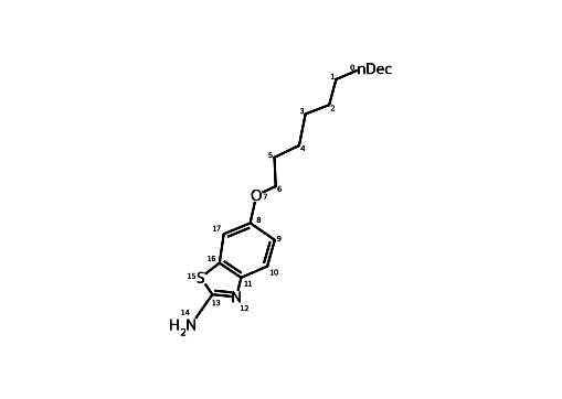 CCCCCCCCCCCCCCCCOc1ccc2nc(N)sc2c1